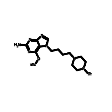 CCCCOc1nc(N)nc2ncn(CCCCN3CCN(C(C)C)CC3)c12